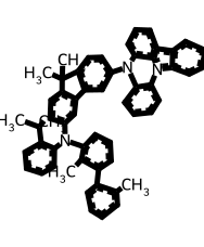 Cc1ccccc1-c1cccc(N(c2ccc3c(c2)-c2cc(N4c5ccccc5-n5c6ccccc6c6cccc4c65)ccc2C3(C)C)c2ccccc2C(C)C)c1C